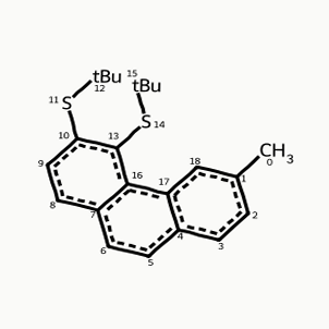 Cc1ccc2ccc3ccc(SC(C)(C)C)c(SC(C)(C)C)c3c2c1